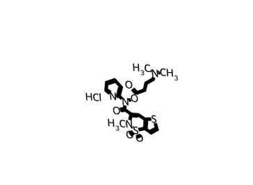 CN(C)CCCC(=O)ON(C(=O)C1=Cc2sccc2S(=O)(=O)N1C)c1ccccn1.Cl